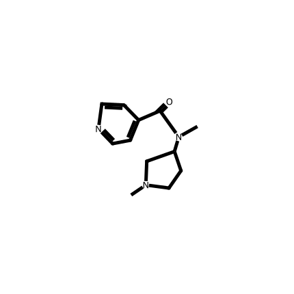 CN1CCC(N(C)C(=O)c2[c]cncc2)C1